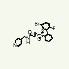 O=C(CNS(=O)(=O)c1ccccc1-c1cc(Br)ccc1F)NCc1ccncc1